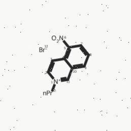 CCC[n+]1ccc2c([N+](=O)[O-])cccc2c1.[Br-]